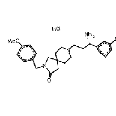 COc1ccc(CN2CC3(CCN(CC[C@H](N)c4cccc(F)c4)CC3)CC2=O)cc1.Cl